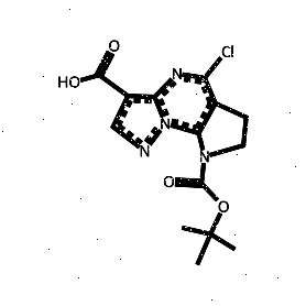 CC(C)(C)OC(=O)N1CCc2c(Cl)nc3c(C(=O)O)cnn3c21